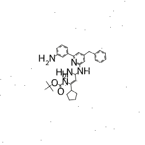 CC(C)(C)OC(=O)N/C(=C\C(N)Nc1cc(Cc2ccccc2)cc(-c2cccc(N)c2)n1)C1CCCC1